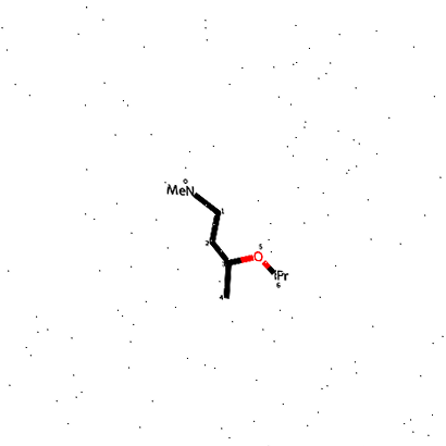 CNCCC(C)OC(C)C